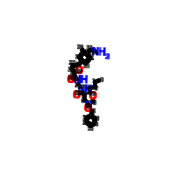 CCCCC[C@H](CN(C=O)OCc1ccccc1)C(=O)NCNC(=O)c1ccc(-c2ccc(CN)c(C)c2)o1